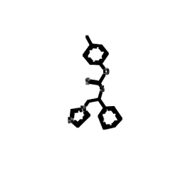 Cc1ccc(OC(=S)SC(Cn2ccnc2)c2ccccc2)cc1